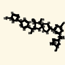 Cc1cc(Nc2cc(C)[nH]n2)nc(C2=CCC3(CC2)CN(C(C)c2ccc(-n4cc(F)cn4)nc2)C(=O)N3C)n1